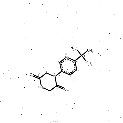 CC(C)(C)c1ccc(N2CC(=O)NCC2=O)cn1